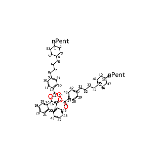 CCCCCC1CCC(CCCCc2ccc(C(=O)O[C@H](c3ccccc3)[C@H](OC(=O)c3ccc(CCCCC4CCC(CCCCC)CC4)cc3)c3ccccc3)cc2)CC1